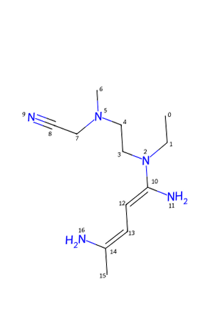 CCN(CCN(C)CC#N)/C(N)=C/C=C(/C)N